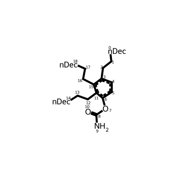 CCCCCCCCCCCCc1ccc(OC(N)=O)c(CCCCCCCCCCCC)c1CCCCCCCCCCCC